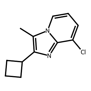 Cc1c(C2CCC2)nc2c(Cl)cccn12